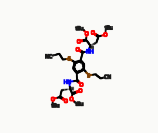 CC(C)(C)OC(=O)C[C@H](NC(=O)c1cc(SCCC#N)c(C(=O)N[C@@H](CC(=O)OC(C)(C)C)C(=O)OC(C)(C)C)cc1SCCC#N)C(=O)OC(C)(C)C